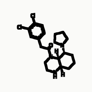 O=C(Cc1ccc(Cl)c(Cl)c1)N1CCN[C@H]2CCC[C@@H](N3CCCC3)[C@@H]21